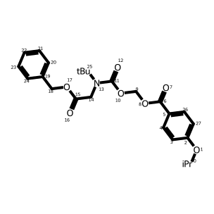 CC(C)Oc1ccc(C(=O)OCOC(=O)N(CC(=O)OCc2ccccc2)C(C)(C)C)cc1